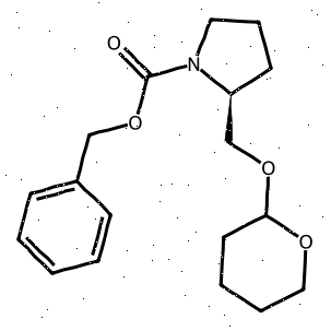 O=C(OCc1ccccc1)N1CCC[C@H]1COC1CCCCO1